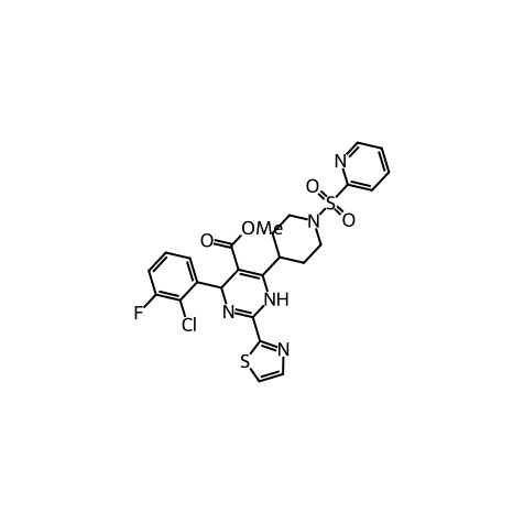 COC(=O)C1=C(C2CCN(S(=O)(=O)c3ccccn3)CC2)NC(c2nccs2)=NC1c1cccc(F)c1Cl